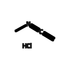 C=C=NC.Cl